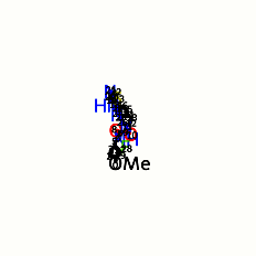 COc1ccc(CNC(=O)C(=O)N2CCc3ccc(Nc4cncs4)nc3C2)c(F)c1